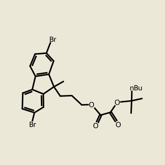 CCCCC(C)(C)OC(=O)C(=O)OCCCC1(C)c2cc(Br)ccc2-c2ccc(Br)cc21